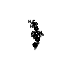 C=CC(=O)N[C@@H]1CCC(C(C)c2ncnc(N)c2/C(=N\C)c2ccc(Oc3cccc(F)c3)cc2F)C1